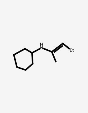 CC/C=C(\C)NC1CCCCC1